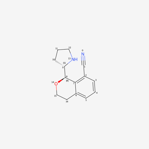 N#Cc1cccc2c1[C@H]([C@@H]1CCCN1)OCC2